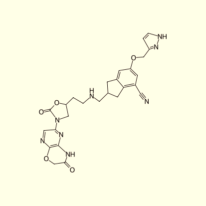 N#Cc1cc(OCc2cc[nH]n2)cc2c1CC(CNCCC1CN(c3cnc4c(n3)NC(=O)CO4)C(=O)O1)C2